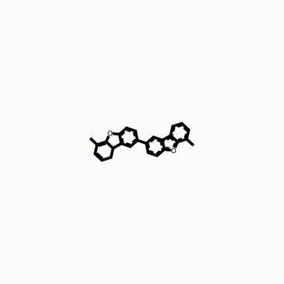 CC1=C2Oc3ccc(-c4ccc5oc6c(C)cccc6c5c4)cc3C2CC=C1